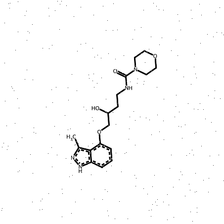 Cc1n[nH]c2cccc(OCC(O)CCNC(=O)N3CCOCC3)c12